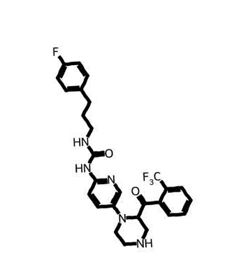 O=C(NCCCc1ccc(F)cc1)Nc1ccc(N2CCNCC2C(=O)c2ccccc2C(F)(F)F)cn1